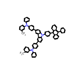 FC(F)(F)c1cccc(N(c2ccccc2)c2ccc(-c3ccc4c(c3)c3cc(-c5ccc(N(c6ccccc6)c6cccc(C(F)(F)F)c6)cc5)ccc3n4-c3ccc(-c4c5ccccc5c(-c5ccccc5)c5ccccc45)cc3)cc2)c1